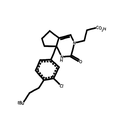 CC(C)(C)CCc1ccc(C23CCCC2=CN(CCC(=O)O)C(=O)N3)cc1Cl